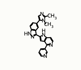 Cc1ncc(-c2ccc3[nH]nc(-c4cc5c(-c6cccnc6)nccc5[nH]4)c3c2)n1C